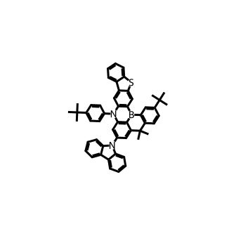 CC(C)(C)c1ccc(N2c3cc4c(cc3B3c5cc(C(C)(C)C)ccc5C(C)(C)c5cc(-n6c7ccccc7c7ccccc76)cc2c53)sc2ccccc24)cc1